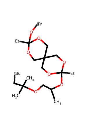 CCC1(OC(C)C)OCC2(CO1)COC(CC)(OC(C)COC(C)(C)CC(C)(C)C)OC2